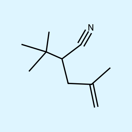 C=C(C)CC(C#N)C(C)(C)C